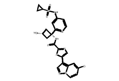 O=C(N[C@]1(c2cc(NS(=O)(=O)C3CC3)ccn2)C[C@H](O)C1)c1ncc(-c2cnn3ccc(Cl)cc23)s1